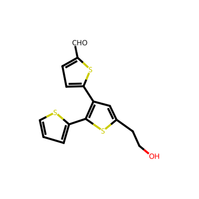 O=Cc1ccc(-c2cc(CCO)sc2-c2cccs2)s1